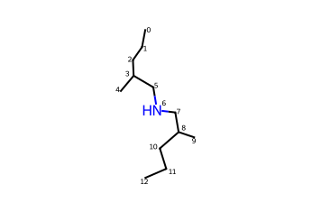 CCCC(C)CNCC(C)CCC